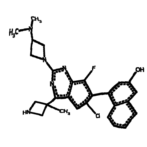 CN(C)C1CN(c2nc(C3(C)CNC3)c3cc(Cl)c(-c4cc(O)cc5ccccc45)c(F)c3n2)C1